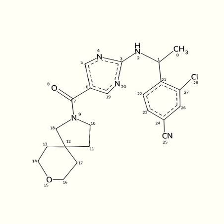 CC(Nc1ncc(C(=O)N2CCC3(CCOCC3)C2)cn1)c1ccc(C#N)cc1Cl